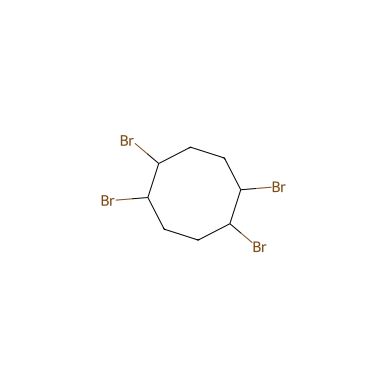 BrC1CCC(Br)C(Br)CCC1Br